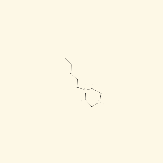 FCCCCN1CC[N]CC1